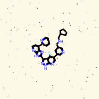 Fc1c(-c2cncc(CNCC3CCCC3)c2)cnc2[nH]nc(-c3nc4c(-c5ccccn5)ccnc4[nH]3)c12